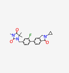 CN1C(=O)N(Cc2ccc(-c3ccc4c(c3)CN(C3CC3)C4=O)c(F)c2)C(C)(C)C1=O